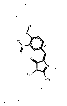 COc1ccc(C=C2N=C(C)N(C)C2=O)cc1[N+](=O)[O-]